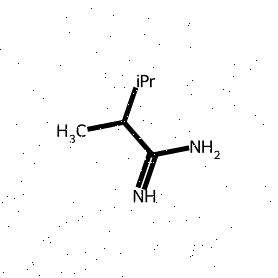 CC(C)C(C)C(=N)N